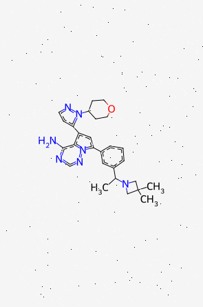 CC(c1cccc(-c2cc(-c3ccnn3C3CCOCC3)c3c(N)ncnn23)c1)N1CC(C)(C)C1